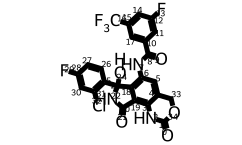 O=C1Nc2c(cc(NC(=O)c3cc(F)cc(C(F)(F)F)c3)c3c2C(=O)NC3(O)c2ccc(F)cc2Cl)CO1